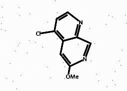 COc1cc2c(Cl)ccnc2cn1